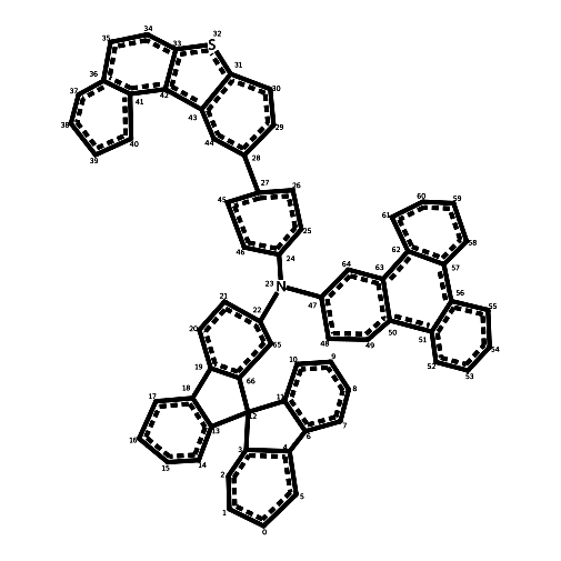 c1ccc2c(c1)-c1ccccc1C21c2ccccc2-c2ccc(N(c3ccc(-c4ccc5sc6ccc7ccccc7c6c5c4)cc3)c3ccc4c5ccccc5c5ccccc5c4c3)cc21